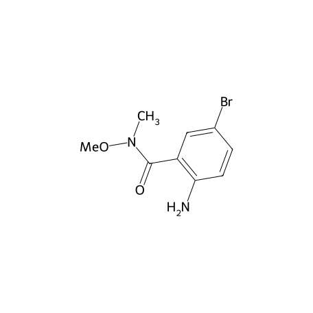 CON(C)C(=O)c1cc(Br)ccc1N